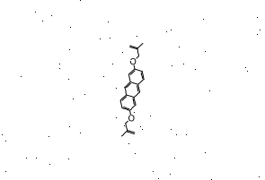 C=C(C)COc1ccc2cc3cc(OCC(=C)C)ccc3cc2c1